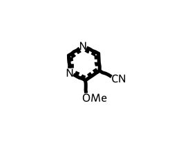 COc1ncncc1C#N